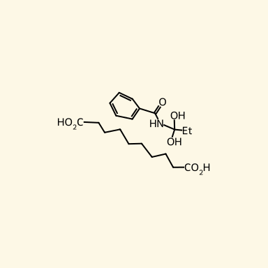 CCC(O)(O)NC(=O)c1ccccc1.O=C(O)CCCCCCCCC(=O)O